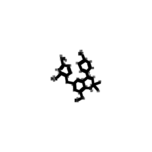 CCOc1cc(Cc2cnc(N)nc2N)cc2c1OC(C)(C)C=C2c1ccc(C#N)cc1